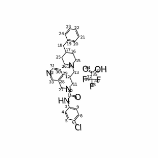 O=C(Nc1ccc(Cl)cc1)N(CCCN1CCC(Cc2ccccc2)CC1)Cc1cccnc1.O=C(O)C(F)(F)F